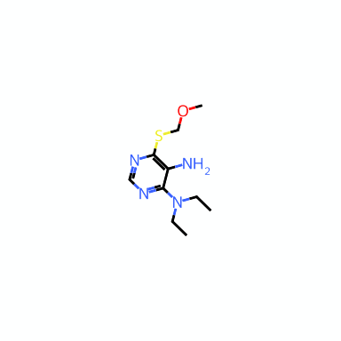 CCN(CC)c1ncnc(SCOC)c1N